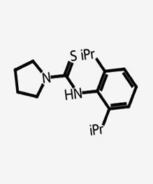 CC(C)c1cccc(C(C)C)c1NC(=S)N1CCCC1